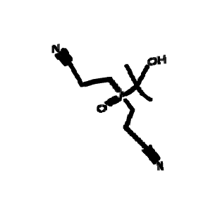 CC(C)(O)P(=O)(CCC#N)CCC#N